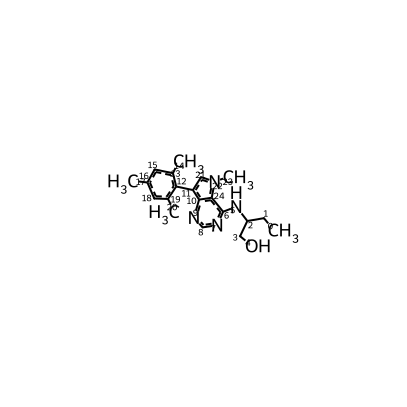 CCC(CO)Nc1ncnc2c(-c3c(C)cc(C)cc3C)cn(C)c12